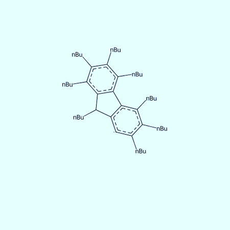 CCCCc1[c]c2c(c(CCCC)c1CCCC)-c1c(CCCC)c(CCCC)c(CCCC)c(CCCC)c1C2CCCC